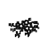 CCOc1cc([N+]2(c3ccc(Cl)c(OC(C)C)c3)C(=O)C3=C(NC2(SCCC(F)(F)F)SCCC(F)(F)F)[N+](CC)(CC)C=N3)ccc1Cl